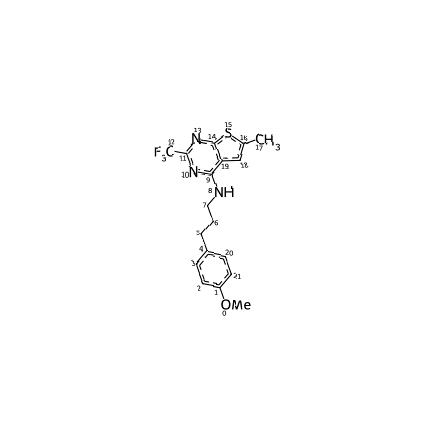 COc1ccc(CCCNc2nc(C(F)(F)F)nc3sc(C)cc23)cc1